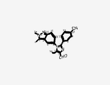 Cc1c2cc(-n3c(-c4ccc(C#N)cc4)nc(C=O)c3C)ccc2nn1C